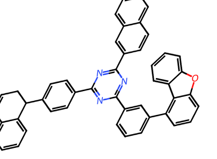 C1=Cc2ccccc2C(c2ccc(-c3nc(-c4cccc(-c5cccc6oc7ccccc7c56)c4)nc(-c4ccc5ccccc5c4)n3)cc2)C1